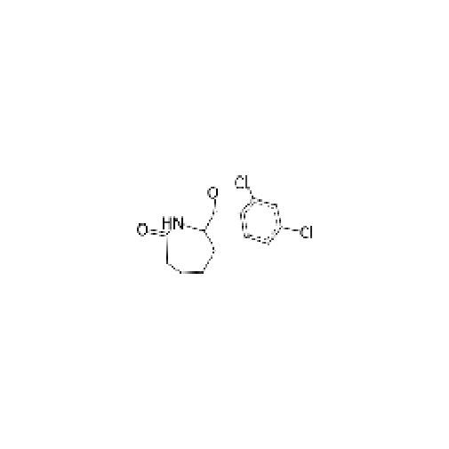 O=C1CCCCC(C(=O)c2ccc(Cl)cc2Cl)N1